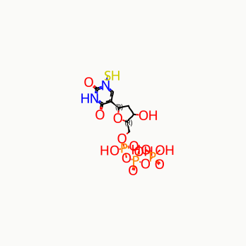 O=c1[nH]c(=O)n(S)cc1[C@H]1CC(O)[C@@H](COP(=O)(O)OP(=O)(O)OP(=O)(O)O)O1